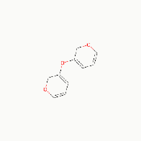 C1=COCC(OC2=CC=COC2)=C1